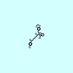 COCC1CCCN1C[C@H](Cc1ccc2c(c1)OCCO2)NC(=O)CCCCCC(=O)c1ccc(OC)cc1